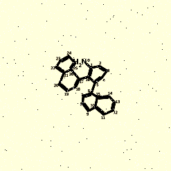 Nc1cccc(-c2cccc3ccccc23)c1-c1cccc2ccccc12